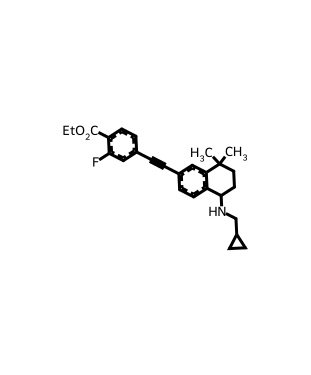 CCOC(=O)c1ccc(C#Cc2ccc3c(c2)C(C)(C)CCC3NCC2CC2)cc1F